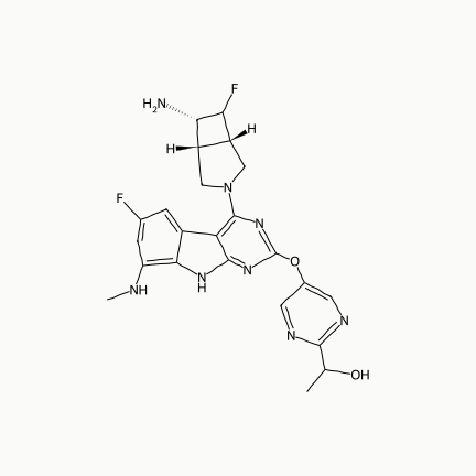 CNc1cc(F)cc2c1[nH]c1nc(Oc3cnc(C(C)O)nc3)nc(N3C[C@@H]4[C@H](N)C(F)[C@@H]4C3)c12